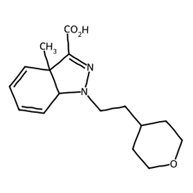 CC12C=CC=CC1N(CCC1CCOCC1)N=C2C(=O)O